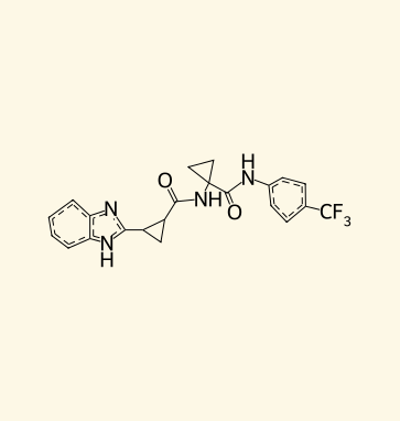 O=C(NC1(C(=O)Nc2ccc(C(F)(F)F)cc2)CC1)C1CC1c1nc2ccccc2[nH]1